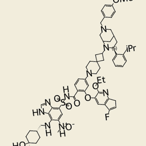 CCOc1nc2c(cc1Oc1cc(N3CCC4(CC3)CC(N3C5CC(C[C@H]3c3ccccc3C(C)C)CN(Cc3ccc(OC)cc3)C5)C4)ccc1C(=O)NS(=O)(=O)c1cc([NH+](C)[O-])c(NC[C@H]3CC[C@](C)(O)CC3)c3[nH]cnc13)C(F)=CC2